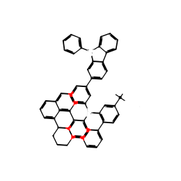 CC(C)(C)c1ccc(-c2ccccc2)c(N(c2cccc(-c3ccc4c5ccccc5n(-c5ccccc5)c4c3)c2)c2ccccc2-c2cccc3cccc(C4CCCCC4)c23)c1